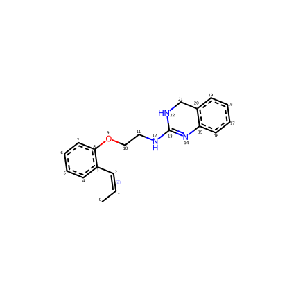 C/C=C\c1ccccc1OCCNC1=Nc2ccccc2CN1